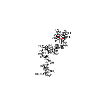 CC[C@H](C)[C@H](NC(=O)[C@H](CO)NC(=O)[C@H](CO)NC(=O)CNC(=O)[C@@H](NC(=O)[C@H](CCC(=O)O)NC(=O)[C@H](CC(N)=O)NC(=O)[C@@H](NC(=O)[C@H](CO)NC(=O)[C@H](CO)NC(=O)CNC(=O)[C@@H](NC(=O)[C@H](CCC(=O)O)NC(=O)[C@H](CC(N)=O)NC(=O)[C@@H](NC(=O)[C@H](CC(N)=O)NC(=O)[C@H](CO)NC(=O)[C@@H](N)CO)[C@@H](C)CC)C(C)C)[C@@H](C)O)C(C)C)C(=O)N[C@@H](CC(N)=O)C(=O)N[C@@H](CCC(=O)O)C(=O)O